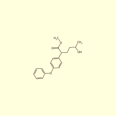 COC(=O)C(CCC(C)O)c1ccc(Oc2ccccc2)cc1